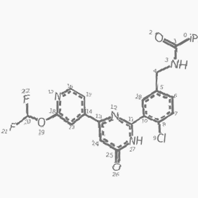 CC(C)C(=O)NCc1ccc(Cl)c(-c2nc(-c3ccnc(OC(F)F)c3)cc(=O)[nH]2)c1